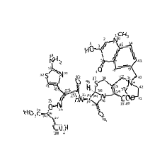 Cn1cc(O)c(=O)c2cc(C[N+]3(CC4=C(C(=O)[O-])N5C(=O)[C@@H](NC(=O)C(=NO[C@@H](CC(=O)O)C(=O)O)c6csc(N)n6)[C@H]5SC4)CCCC3)ccc21